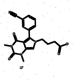 Cn1c(=O)c2c(-c3cccc(C#N)c3)n(CCCC(=O)[O-])cc2n(C)c1=O.[Li+]